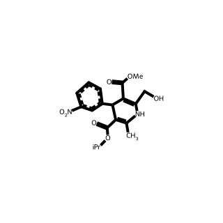 COC(=O)C1=C(CO)NC(C)=C(C(=O)OC(C)C)C1c1cccc([N+](=O)[O-])c1